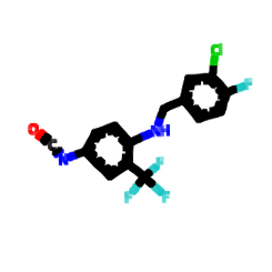 O=C=Nc1ccc(NCc2ccc(F)c(Cl)c2)c(C(F)(F)F)c1